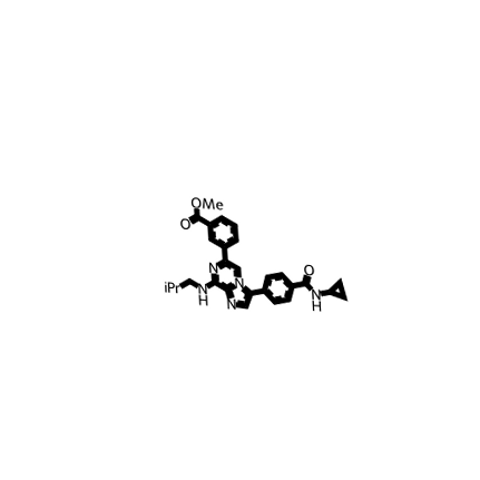 COC(=O)c1cccc(-c2cn3c(-c4ccc(C(=O)NC5CC5)cc4)cnc3c(NCC(C)C)n2)c1